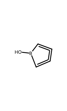 OB1C=C=C=C1